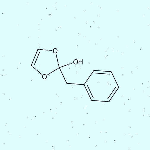 OC1(Cc2ccccc2)OC=CO1